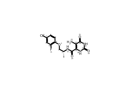 C[C@H](COc1ccc(Cl)cc1F)NC(=O)c1[nH]c(=O)[nH]c(=O)c1N